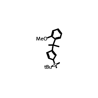 COc1ccccc1C(C)(C)C1=CC([Si](C)(C)C(C)(C)C)C=C1